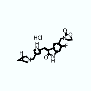 Cl.O=C1Nc2cc(F)c(CN3CCOC3=O)cc2C1=Cc1cc(CN2CC3C[C@@H]3C2)c[nH]1